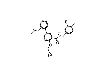 CNCc1ccccc1-c1cnc(OCC2CC2)c(C(=O)NCc2ccc(C)c(F)c2)c1